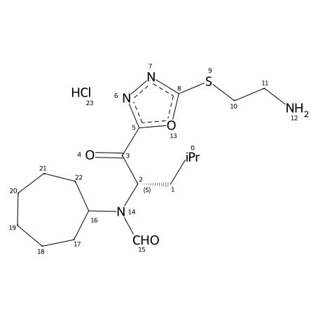 CC(C)C[C@@H](C(=O)c1nnc(SCCN)o1)N(C=O)C1CCCCCC1.Cl